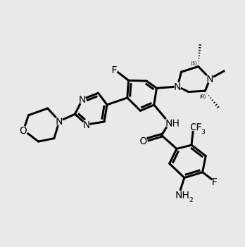 C[C@@H]1CN(c2cc(F)c(-c3cnc(N4CCOCC4)nc3)cc2NC(=O)c2cc(N)c(F)cc2C(F)(F)F)C[C@H](C)N1C